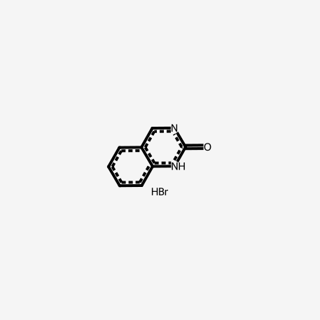 Br.O=c1ncc2ccccc2[nH]1